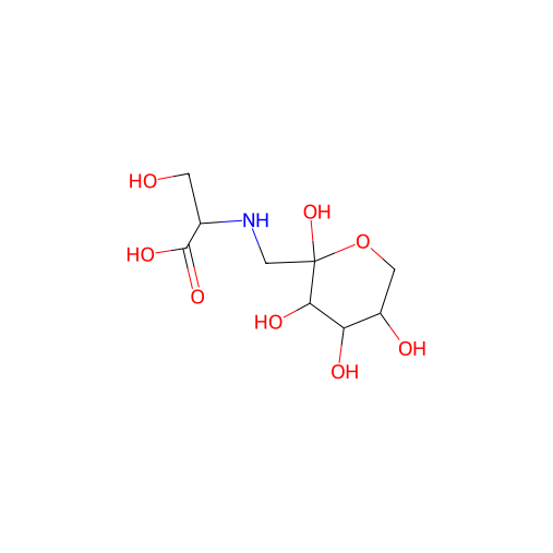 O=C(O)C(CO)NCC1(O)OCC(O)C(O)C1O